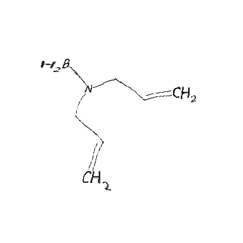 BN(CC=C)CC=C